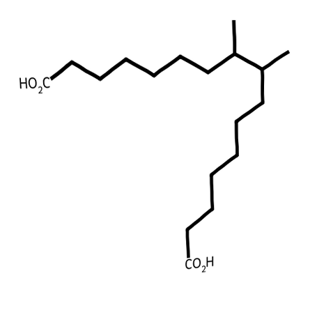 CC(CCCCCCC(=O)O)C(C)CCCCCCC(=O)O